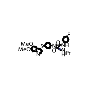 COc1cc2nccc(Sc3ccc(NC(=O)/C(=C/NC(C)C)C(=O)Nc4ccc(F)cc4)cc3)c2cc1OC